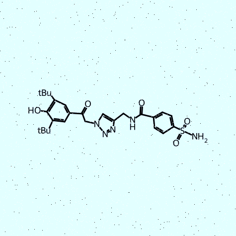 CC(C)(C)c1cc(C(=O)Cn2cc(CNC(=O)c3ccc(S(N)(=O)=O)cc3)nn2)cc(C(C)(C)C)c1O